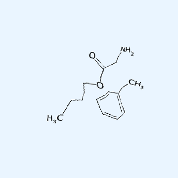 CCCCOC(=O)CN.Cc1ccccc1